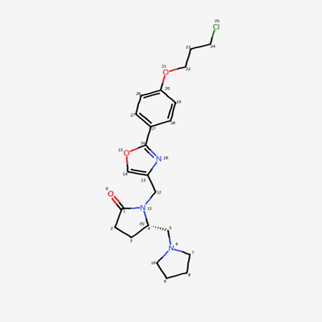 O=C1CC[C@@H](CN2CCCC2)N1Cc1coc(-c2ccc(OCCCCl)cc2)n1